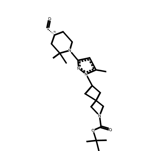 Cc1cc(N2CC[C@@H](C=O)CC2(C)C)nn1C1CC2(C1)CN(C(=O)OC(C)(C)C)C2